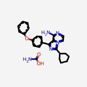 NC(=O)O.Nc1nccn2c(C3CCCCC3)nc(-c3ccc(Oc4ccccc4)cc3)c12